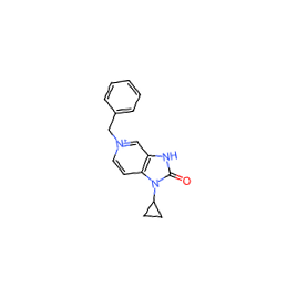 O=c1[nH]c2c[n+](Cc3ccccc3)ccc2n1C1CC1